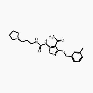 Cc1cccc(CSc2nsc(NC(=O)NCCCN3CCCC3)c2C(N)=O)c1